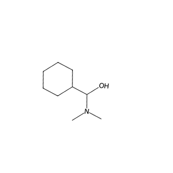 CN(C)C(O)C1CCCCC1